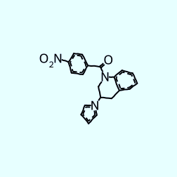 O=C(c1ccc([N+](=O)[O-])cc1)N1CC(n2cccc2)Cc2ccccc21